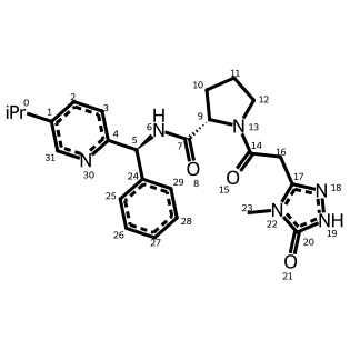 CC(C)c1ccc([C@@H](NC(=O)[C@@H]2CCCN2C(=O)Cc2n[nH]c(=O)n2C)c2ccccc2)nc1